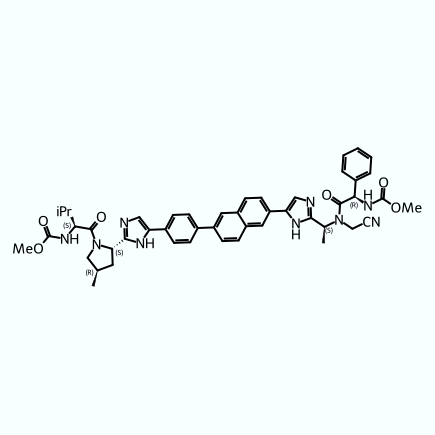 COC(=O)N[C@H](C(=O)N1C[C@H](C)C[C@H]1c1ncc(-c2ccc(-c3ccc4cc(-c5cnc([C@H](C)N(CC#N)C(=O)[C@H](NC(=O)OC)c6ccccc6)[nH]5)ccc4c3)cc2)[nH]1)C(C)C